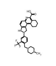 CN1CCN(Cc2ccc(N3Cc4c(ccc5nc(C(=O)O)c6c(c45)CCCC6)N3)cc2C(F)(F)F)CC1